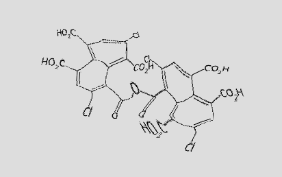 O=C(O)c1cc(Cl)c(C(=O)O)c2c(C(=O)OC(=O)c3c(Cl)cc(C(=O)O)c4c(C(=O)O)cc(Cl)c(C(=O)O)c34)c(Cl)cc(C(=O)O)c12